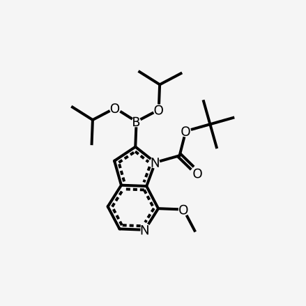 COc1nccc2cc(B(OC(C)C)OC(C)C)n(C(=O)OC(C)(C)C)c12